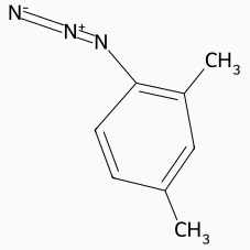 Cc1ccc(N=[N+]=[N-])c(C)c1